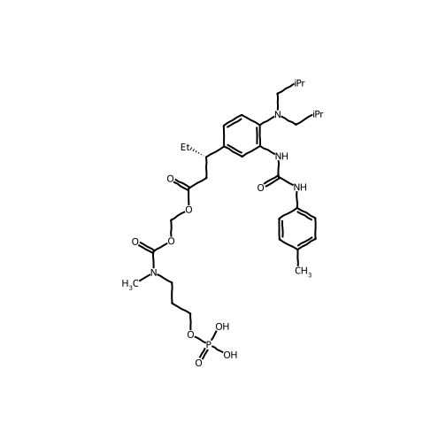 CC[C@@H](CC(=O)OCOC(=O)N(C)CCCOP(=O)(O)O)c1ccc(N(CC(C)C)CC(C)C)c(NC(=O)Nc2ccc(C)cc2)c1